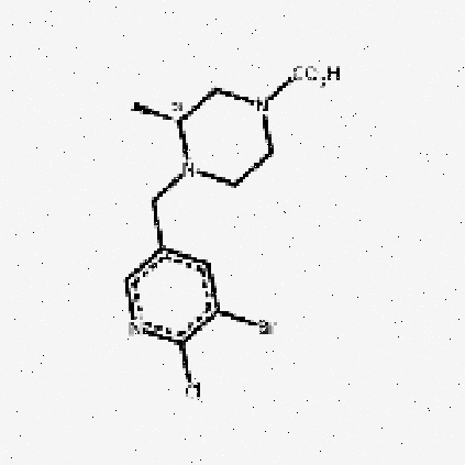 C[C@H]1CN(C(=O)O)CCN1Cc1cnc(Cl)c(Br)c1